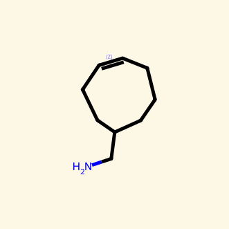 NCC1CC/C=C\CCC1